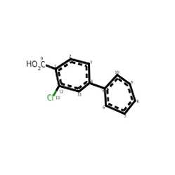 O=C(O)c1ccc(-c2ccccc2)cc1Cl